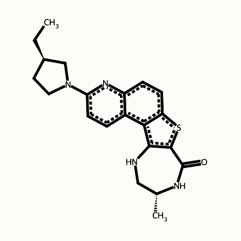 CC[C@@H]1CCN(c2ccc3c(ccc4sc5c(c43)NC[C@@H](C)NC5=O)n2)C1